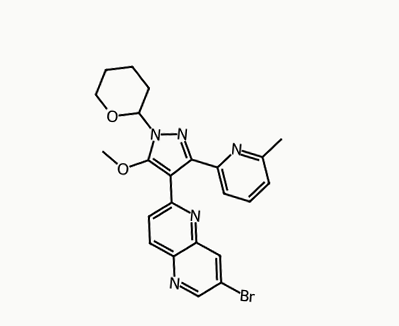 COc1c(-c2ccc3ncc(Br)cc3n2)c(-c2cccc(C)n2)nn1C1CCCCO1